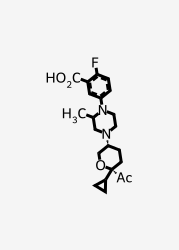 CC(=O)[C@@]1(C2CC2)CC[C@@H](N2CCN(c3ccc(F)c(C(=O)O)c3)C(C)C2)CO1